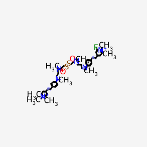 CC[n+]1c(C)cc(/C=C/c2ccc(N(C)CCCN(C)C(=O)CSSCC(=O)N(C)CCCN(C)c3ccc(/C=C/c4cc(C)[n+](CC)c(F)c4)cc3)cc2)cc1C